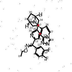 CCO/N=C(\c1ccc(F)c(F)c1)c1ccc(CN2[C@@H]3CC[C@H]2C[C@H](c2ccn4cnnc4c2)C3)cn1